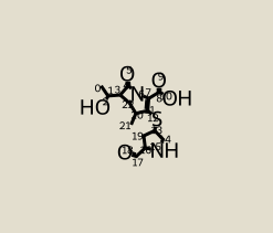 CC(O)C1C(=O)N2C(C(=O)O)=C(SC3CNC(C=O)C3)C(C)C12